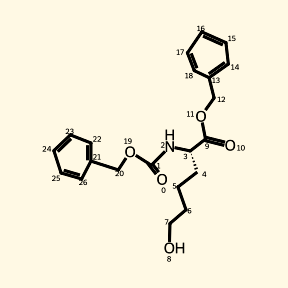 O=C(N[C@@H](CCCCO)C(=O)OCc1ccccc1)OCc1ccccc1